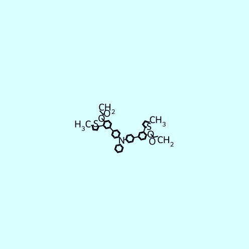 C=CC(=O)Oc1ccc(-c2ccc(N(c3ccccc3)c3ccc(-c4ccc(OC(=O)C=C)c(-c5ccc(C)s5)c4)cc3)cc2)cc1-c1ccc(C)s1